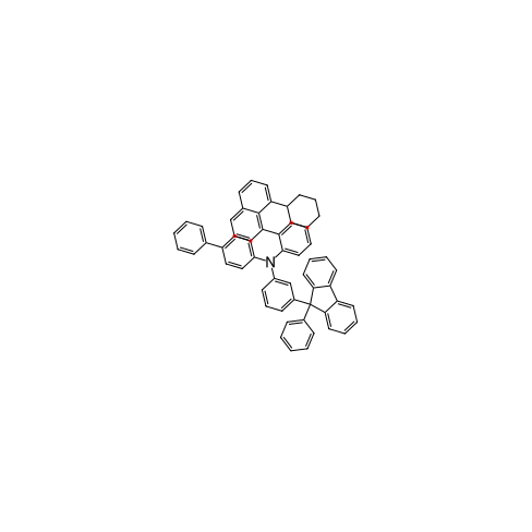 c1ccc(-c2ccc(N(c3cccc(C4(c5ccccc5)c5ccccc5-c5ccccc54)c3)c3ccccc3-c3cccc4cccc(C5CCCCC5)c34)cc2)cc1